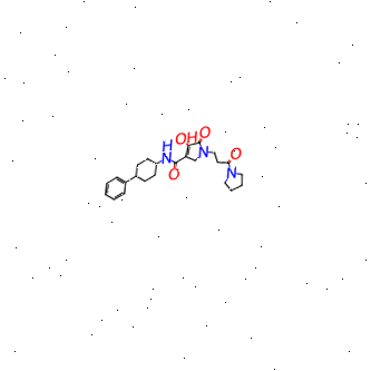 O=C(NC1CCC(c2ccccc2)CC1)C1=C(O)C(=O)N(CCC(=O)N2CCCC2)C1